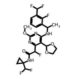 COc1nc(NC(C)c2cccc(C(F)F)c2F)c(C2OCCO2)c(C(F)C(=O)NC2(C(F)F)CC2)n1